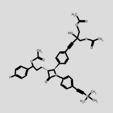 CC(=O)OCC(O)(C#Cc1ccc([C@@H]2[C@@H](CCC(OC(C)=O)c3ccc(F)cc3)C(=O)N2c2ccc(C#C[Si](C)(C)C)cc2)cc1)COC(C)=O